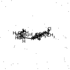 CCCC[C@@H](CC(NCCCCCCCCCCN1CCN(CCC(CSc2ccccc2)Nc2ccc(S(=O)(=O)NC(=O)c3ccc(N4CCN(CC5=C(c6ccc(Cl)cc6)CCC(C)(C)C5)CC4)cc3)cc2S(=O)(=O)C(F)(F)F)CC1)C(C)(C)C)N1C[C@H](O)C[C@H]1C(=O)N[C@@H](C)c1ccc(-c2scnc2C)cc1